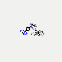 CCc1cnc(-c2ccc(C3NCCN3)cc2)n1COCC[Si](C)(C)C